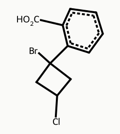 O=C(O)c1ccccc1C1(Br)CC(Cl)C1